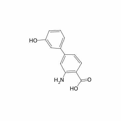 Nc1cc(-c2cccc(O)c2)ccc1C(=O)O